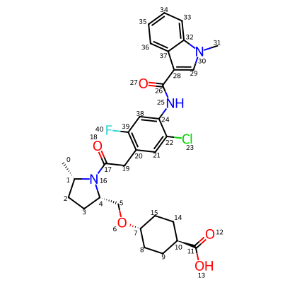 C[C@H]1CC[C@@H](CO[C@H]2CC[C@H](C(=O)O)CC2)N1C(=O)Cc1cc(Cl)c(NC(=O)c2cn(C)c3ccccc23)cc1F